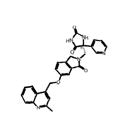 Cc1cc(COc2ccc3c(c2)C(=O)N(C[C@@]2(c4cccnc4)NC(=O)NC2=O)C3)c2ccccc2n1